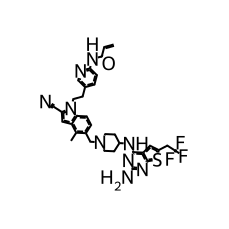 C=CC(=O)Nc1ccc(CCn2c(C#N)cc3c(C)c(CN4CCC(Nc5nc(N)nc6sc(CC(F)(F)F)cc56)CC4)ccc32)cn1